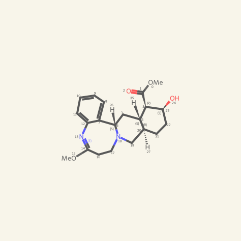 COC(=O)[C@@H]1[C@H]2C[C@H]3c4ccccc4/N=C(/OC)CCN3C[C@@H]2CC[C@@H]1O